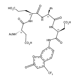 CC(=O)N[C@@H](CC(=O)O)C(=O)N[C@@H](CCC(=O)O)C(=O)N[C@H](C(=O)N[C@@H](CC(=O)O)C(=O)Nc1ccc2c(C(F)(F)F)cc(=O)oc2c1)C(C)C